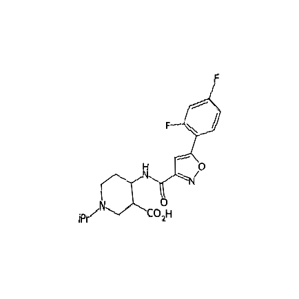 CC(C)N1CCC(NC(=O)c2cc(-c3ccc(F)cc3F)on2)C(C(=O)O)C1